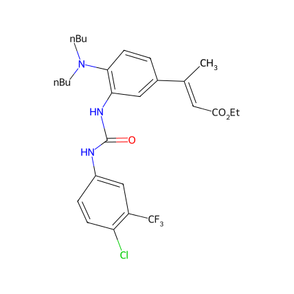 CCCCN(CCCC)c1ccc(/C(C)=C/C(=O)OCC)cc1NC(=O)Nc1ccc(Cl)c(C(F)(F)F)c1